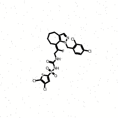 O=C(NCC(F)=C1CCCCc2cnn(Cc3ccc(Cl)cc3Cl)c21)NS(=O)(=O)c1cc(Cl)c(Cl)s1